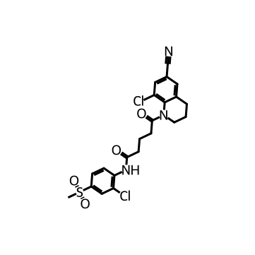 CS(=O)(=O)c1ccc(NC(=O)CCCC(=O)N2CCCc3cc(C#N)cc(Cl)c32)c(Cl)c1